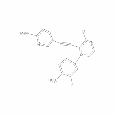 CCc1nccc(-c2ccc(C(=O)O)c(F)c2)c1C#Cc1ccc(NC)nc1